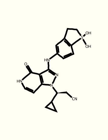 N#CC[C@@H](C1CC1)n1nc(Nc2ccc3c(c2)CCS3(O)O)c2c(=O)[nH]ccc21